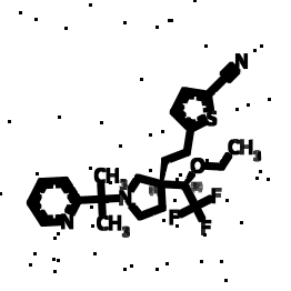 CCO[C@@H](C(F)(F)F)[C@]1(CCc2ccc(C#N)s2)CCN(C(C)(C)c2ccccn2)C1